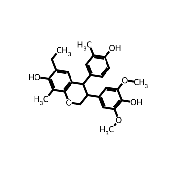 CCc1cc2c(c(C)c1O)OCC(c1cc(OC)c(O)c(OC)c1)C2c1ccc(O)c(C)c1